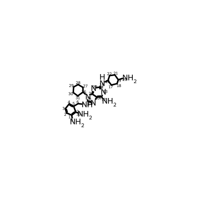 Nc1cccc(CNc2nc3c(N)nc(NC4CCC(N)CC4)nc3n2C2CCCCC2)c1N